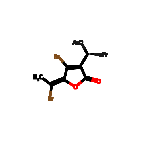 CCC[C@@H](OC(C)=O)C1=C(Br)/C(=C(\C)Br)OC1=O